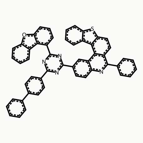 c1ccc(-c2ccc(-c3nc(-c4ccc5nc(-c6ccccc6)c6ccc7sc8ccccc8c7c6c5c4)nc(-c4cccc5oc6ccccc6c45)n3)cc2)cc1